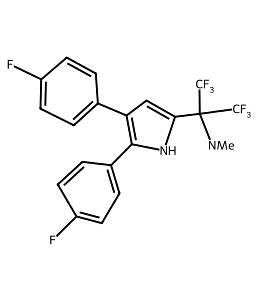 CNC(c1cc(-c2ccc(F)cc2)c(-c2ccc(F)cc2)[nH]1)(C(F)(F)F)C(F)(F)F